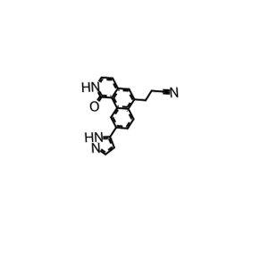 N#CCCc1cc2cc[nH]c(=O)c2c2cc(-c3ccn[nH]3)ccc12